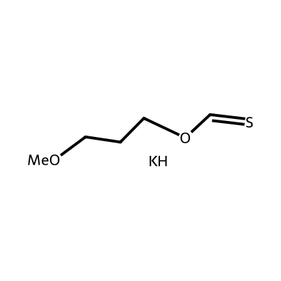 COCCCOC=S.[KH]